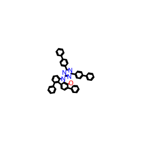 c1ccc(-c2ccc(-c3nc(-c4ccc(-c5ccccc5)cc4)nc(-n4c5cccc(-c6ccccc6)c5c5ccc6c7ccccc7oc6c54)n3)cc2)cc1